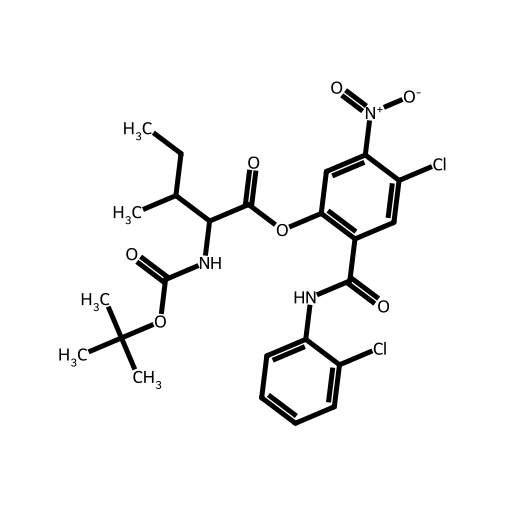 CCC(C)C(NC(=O)OC(C)(C)C)C(=O)Oc1cc([N+](=O)[O-])c(Cl)cc1C(=O)Nc1ccccc1Cl